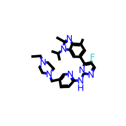 CCN1CCN(Cc2ccc(Nc3ncc(F)c(-c4cc(C)c5nc(C)n(C(C)C)c5c4)n3)nc2)CC1